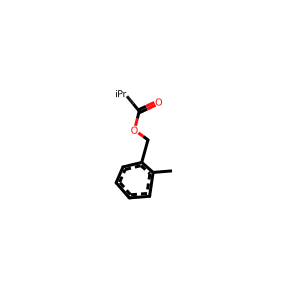 Cc1ccccc1COC(=O)C(C)C